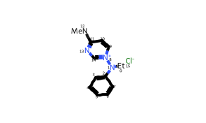 CCN(c1ccccc1)[n+]1ccc(NC)nc1.[Cl-]